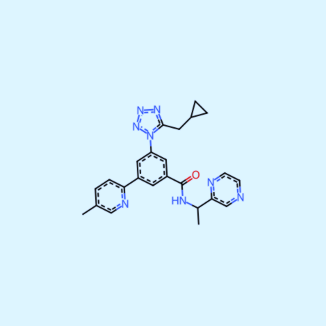 Cc1ccc(-c2cc(C(=O)NC(C)c3cnccn3)cc(-n3nnnc3CC3CC3)c2)nc1